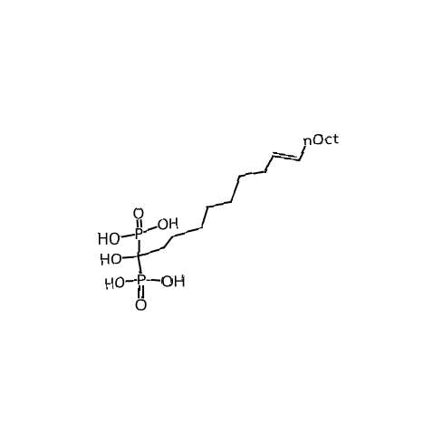 CCCCCCCCC=CCCCCCCCC(O)(P(=O)(O)O)P(=O)(O)O